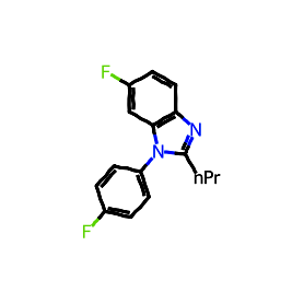 CCCc1nc2ccc(F)cc2n1-c1ccc(F)cc1